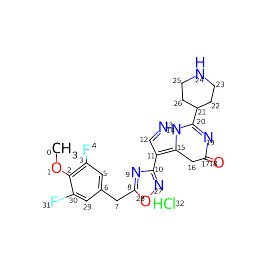 COc1c(F)cc(Cc2nc(-c3cnn4c3CC(=O)N=C4C3CCNCC3)no2)cc1F.Cl